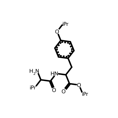 CC(C)OC(=O)C(Cc1ccc(OC(C)C)cc1)NC(=O)C(N)C(C)C